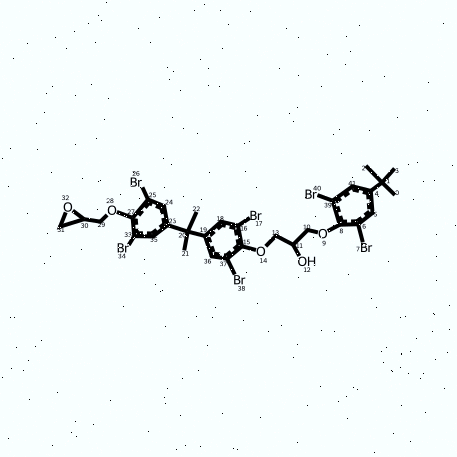 CC(C)(C)c1cc(Br)c(OCC(O)COc2c(Br)cc(C(C)(C)c3cc(Br)c(OCC4CO4)c(Br)c3)cc2Br)c(Br)c1